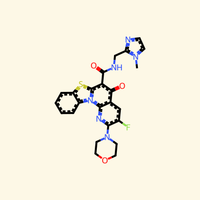 Cn1ccnc1CNC(=O)c1c(=O)c2cc(F)c(N3CCOCC3)nc2n2c1sc1ccccc12